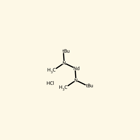 C[N]([Nd][N](C)C(C)(C)C)C(C)(C)C.Cl